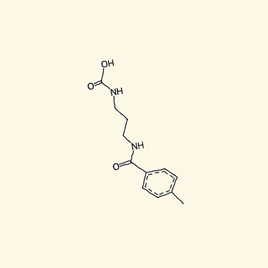 Cc1ccc(C(=O)NCCCNC(=O)O)cc1